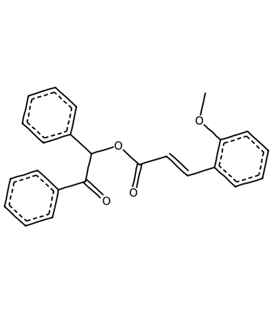 COc1ccccc1/C=C/C(=O)OC(C(=O)c1ccccc1)c1ccccc1